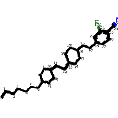 CCCCCCCC1CCC(CCC2CCC(CCc3ccc(C#N)c(F)c3)CC2)CC1